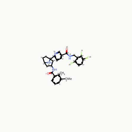 COc1cccc(C(=O)NC2CC3CCC(c4ccc(C(=O)NCc5c(F)ccc(F)c5F)cn4)(C2)N3)c1C